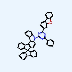 c1ccc(-c2nc(-c3ccc4c(c3)oc3ccccc34)nc(-n3c4ccccc4c4c5c(ccc43)C3(c4ccccc4-c4ccccc43)c3ccccc3-5)n2)cc1